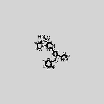 O=S(=O)(O)c1cnc(-c2cc(-c3ccon3)n(Cc3ccccc3F)n2)nc1N1CCCC1